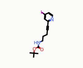 CC(C)(C)OC(=O)NCCCC#Cc1cc(I)ccn1